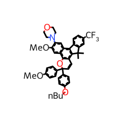 CCCCOc1ccc(C2(c3ccc(OC)cc3)C=Cc3c4c(c5cc(N6CCOCC6)c(OC)cc5c3O2)-c2ccc(C(F)(F)F)cc2C4(C)C)cc1